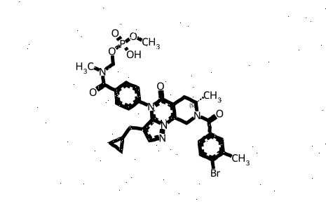 COP(=O)(O)OCN(C)C(=O)c1ccc(-n2c(=O)c3c(n4ncc(CC5CC5)c24)CN(C(=O)c2ccc(Br)c(C)c2)[C@@H](C)C3)cc1